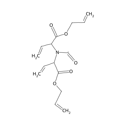 C=CCOC(=O)C(C=C)N([C]=O)C(C=C)C(=O)OCC=C